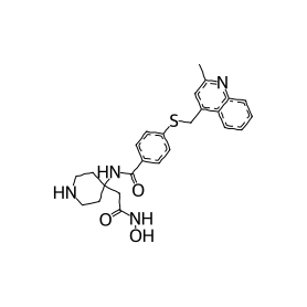 Cc1cc(CSc2ccc(C(=O)NC3(CC(=O)NO)CCNCC3)cc2)c2ccccc2n1